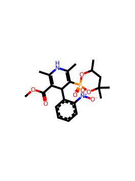 COC(=O)C1=C(C)NC(C)=C(P2(=O)OC(C)CC(C)(C)O2)C1c1ccccc1[N+](=O)[O-]